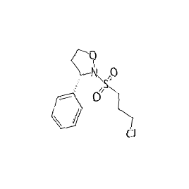 O=S(=O)(CCCCl)N1OCC[C@H]1c1ccccc1